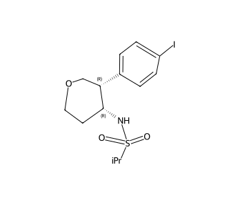 CC(C)S(=O)(=O)N[C@@H]1CCOC[C@@H]1c1ccc(I)cc1